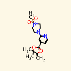 C=C1OB(c2ccnc(N3CCN(S(C)(=O)=O)CC3)c2)OC1(C)C